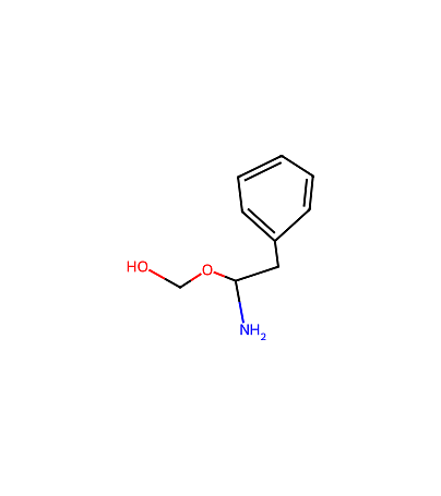 NC(Cc1ccccc1)OCO